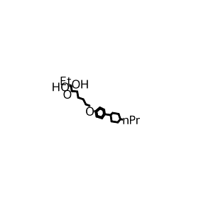 CCCC1CCC(c2ccc(OCCCCCC(=O)C(O)(O)CC)cc2)CC1